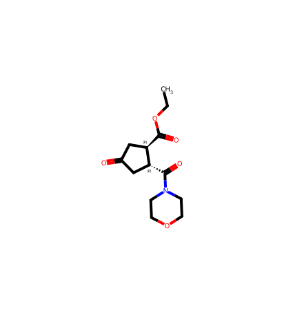 CCOC(=O)[C@@H]1CC(=O)C[C@H]1C(=O)N1CCOCC1